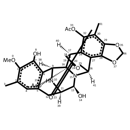 COc1c(C)cc2c(c1O)[C@@H]1N[C@H](C2)[C@H](O)N2C1[C@@H]1SC[C@H](OC(C)=O)C(=O)OC[C@H]2c2c3c(c(C)c(OC(C)=O)c21)OCO3